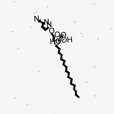 CCCCCCCCCCCCCCCCCCOCC(COc1ccc(C#N)nn1)OP(=O)(O)O